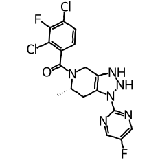 C[C@H]1CC2=C(CN1C(=O)c1ccc(Cl)c(F)c1Cl)NNN2c1ncc(F)cn1